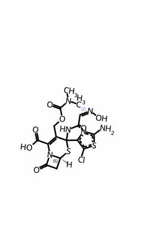 CN(C)C(=O)OCC1=C(C(=O)O)N2C(=O)C[C@@H]2SC1(NC(=O)/C=N\O)c1nc(N)sc1Cl